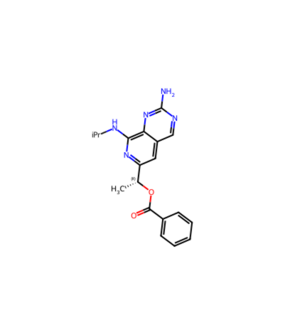 CC(C)Nc1nc([C@@H](C)OC(=O)c2ccccc2)cc2cnc(N)nc12